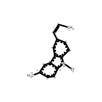 C/C=C\c1ccc2c(c1)c1cc(C)ccc1n2CC